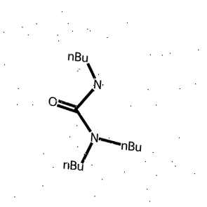 CCCC[N]C(=O)N(CCCC)CCCC